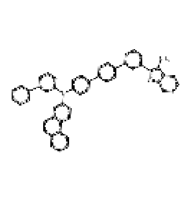 Cc1c(-c2cccc(-c3ccc(-c4ccc(N(c5cccc(-c6ccccc6)c5)c5ccc6c(ccc7ccccc76)c5)cc4)cc3)c2)oc2ccccc12